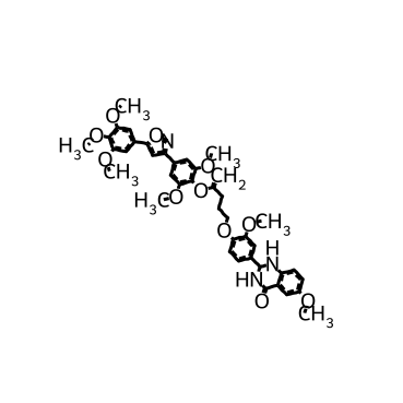 C=C(CCCOc1ccc(C2NC(=O)c3cc(OC)ccc3N2)cc1OC)Oc1c(OC)cc(-c2cc(-c3cc(OC)c(OC)c(OC)c3)on2)cc1OC